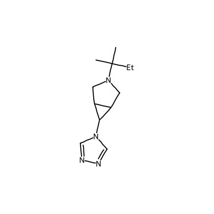 CCC(C)(C)N1CC2C(C1)C2n1cnnc1